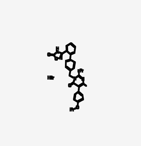 Br.CCCc1nc(C)c(-c2ccc(OC(C)C)cc2)c(=O)n1Cc1ccc(-c2ccccc2-c2noc(=O)[nH]2)cc1